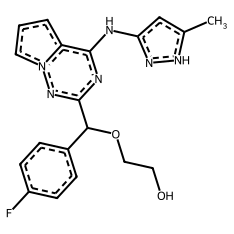 Cc1cc(Nc2nc(C(OCCO)c3ccc(F)cc3)nn3cccc23)n[nH]1